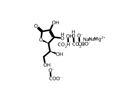 O=C(O)O.O=C(O)O.O=C([O-])[O-].O=C([O-])[O-].O=C1O[C@H]([C@@H](O)CO)C(O)=C1O.[Mg+2].[Na+].[Na+]